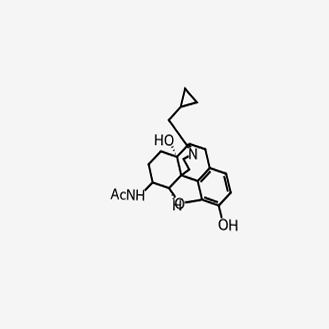 CC(=O)NC1CC[C@@]2(O)C3Cc4ccc(O)c5c4C2(CCN3CC2CC2)[C@H]1O5